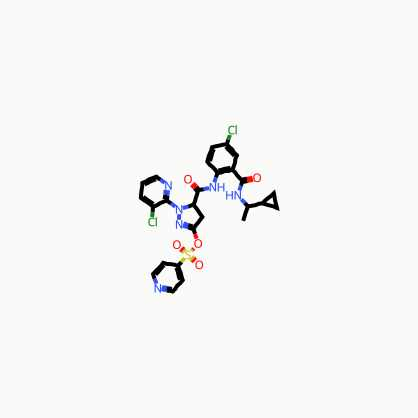 CC(NC(=O)c1cc(Cl)ccc1NC(=O)C1CC(OS(=O)(=O)c2ccncc2)=NN1c1ncccc1Cl)C1CC1